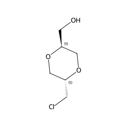 OC[C@H]1CO[C@H](CCl)CO1